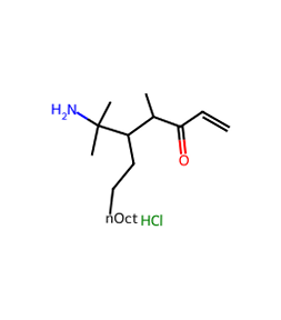 C=CC(=O)C(C)C(CCCCCCCCCC)C(C)(C)N.Cl